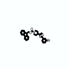 O=C(OCC1c2ccccc2-c2ccccc21)N1CCC(c2csc(-c3cccc(Br)c3)n2)CC1